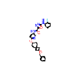 O=C(Nc1ccc(OC2CCC3(CC2)CC(OCc2ccccc2)C3)nc1)c1nnc(Nc2ccccc2F)o1